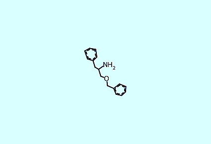 NC(COCc1ccccc1)Cc1ccccc1